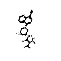 CN[C@H](C(=O)N[C@@H]1C[C@H](C)CN(c2ccc(C#N)c3ncccc23)C1)C(C)C